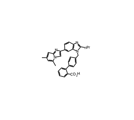 CCCc1nc2ccc(-c3cn4c(C)cc(C)cc4n3)cc2n1Cc1ccc(-c2ccccc2C(=O)O)cc1